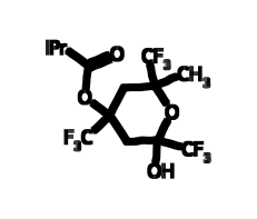 CC(C)C(=O)OC1(C(F)(F)F)CC(C)(C(F)(F)F)OC(O)(C(F)(F)F)C1